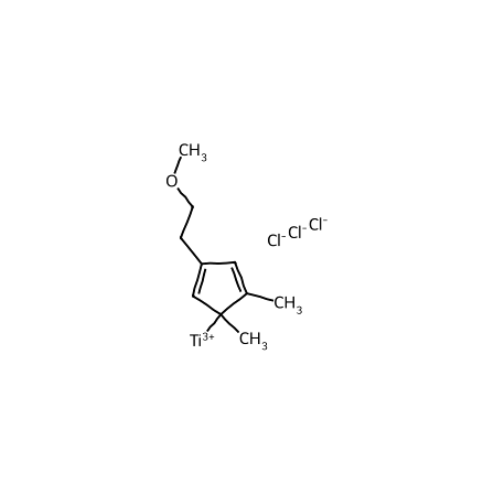 COCCC1=C[C](C)([Ti+3])C(C)=C1.[Cl-].[Cl-].[Cl-]